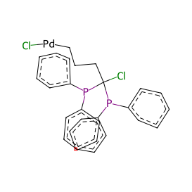 [Cl][Pd][CH2]CCC(Cl)(P(c1ccccc1)c1ccccc1)P(c1ccccc1)c1ccccc1